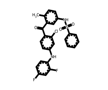 Cc1ccc(NS(=O)(=O)c2ccccc2)cc1C(=O)c1ccc(Nc2ccc(F)cc2F)cc1Cl